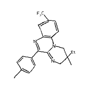 CCC1(C)CN=C2C(c3ccc(C)cc3)=Nc3cc(C(F)(F)F)ccc3N2C1